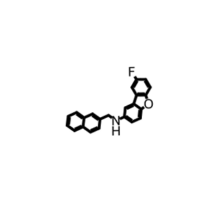 Fc1ccc2oc3ccc(NCc4ccc5ccccc5c4)cc3c2c1